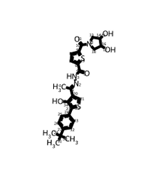 C/C(=N\NC(=O)c1ccc(C(=O)N2CC(O)C(O)C2)s1)c1csc(-c2ccc(C(C)(C)C)cc2)c1O